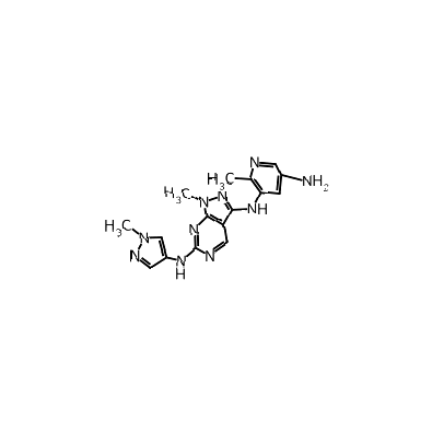 Cc1ncc(N)cc1Nc1nn(C)c2nc(Nc3cnn(C)c3)ncc12